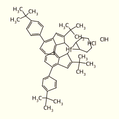 CC(C)(C)C1=Cc2c(-c3ccc(C(C)(C)C)cc3)cccc2[CH]1[Hf]1([CH]2C(C(C)(C)C)=Cc3c(-c4ccc(C(C)(C)C)cc4)cccc32)[CH]2CCCC[CH]21.Cl.Cl